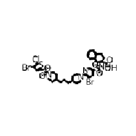 O=C(O)C1(NS(=O)(=O)c2cnc(N3CCC(CCCC4CCN(S(=O)(=O)c5cc(Br)c(Cl)s5)CC4)CC3)c(Br)c2)CCc2ccccc2C1